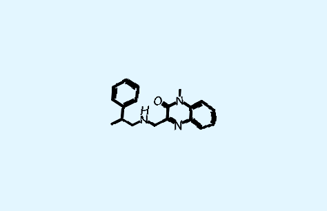 CC(CNCc1nc2ccccc2n(C)c1=O)c1ccccc1